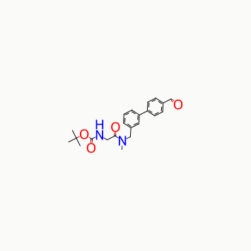 CN(Cc1cccc(-c2ccc(C=O)cc2)c1)C(=O)CNC(=O)OC(C)(C)C